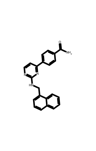 NC(=O)c1ccc(-c2ccnc(NCc3cccc4ccccc34)n2)cc1